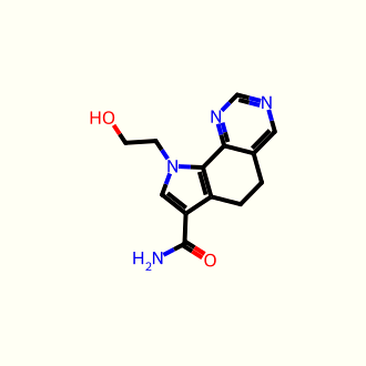 NC(=O)c1cn(CCO)c2c1CCc1cncnc1-2